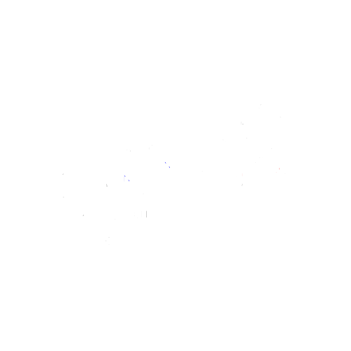 CC(C)c1ccccc1N1CCN(CCC2CC3(CCCC3)C(=O)O2)CC1